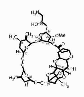 C=C1C[C@@H]2CC[C@@]34C[C@]5(C)O[C@H]6[C@@H](O3)C3OC(CCC3O[C@H]6C5O4)CC(=O)C[C@@H]3[C@@H](OC)[C@@H](C[C@H](O)CN)O[C@H]3CC3O[C@@H](CCC1O2)C[C@@H](C)C3=C